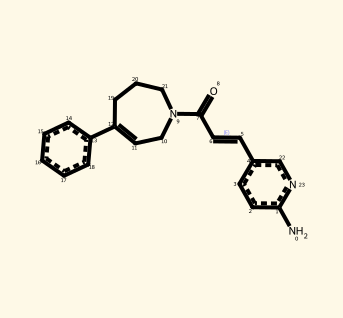 Nc1ccc(/C=C/C(=O)N2CC=C(c3ccccc3)CCC2)cn1